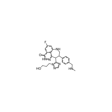 CNCc1ccc(C2CNc3cc(F)cc4c(=O)[nH]nc(c34)C2c2ncnn2CCCO)cc1